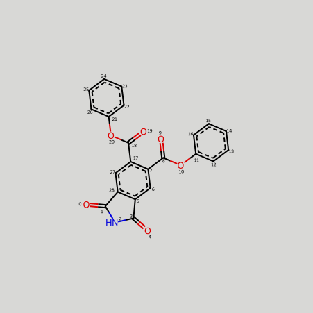 O=C1NC(=O)c2cc(C(=O)Oc3ccccc3)c(C(=O)Oc3ccccc3)cc21